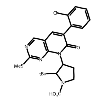 CSc1ncc2cc(-c3ccccc3Cl)c(=O)n(C3CCN(C(=O)O)C3C(C)(C)C)c2n1